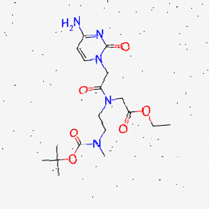 CCOC(=O)CN(CCN(C)C(=O)OC(C)(C)C)C(=O)Cn1ccc(N)nc1=O